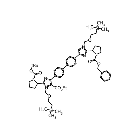 CCOC(=O)c1c(-c2ccc(-c3ccc(-c4cn(COCC[Si](C)(C)C)c([C@@H]5CCCN5C(=O)OCc5ccccc5)n4)cc3)cc2)nc(C2CCCN2C(=O)OC(C)(C)C)n1COCC[Si](C)(C)C